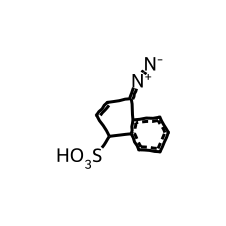 [N-]=[N+]=C1C=CC(S(=O)(=O)O)c2ccccc21